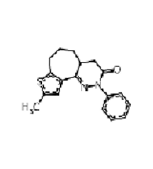 Cc1cc2c(s1)CCCC1CC(=O)N(c3ccccc3)N=C21